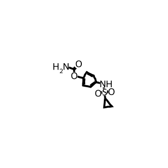 NC(=O)Oc1ccc(NS(=O)(=O)C2CC2)cc1